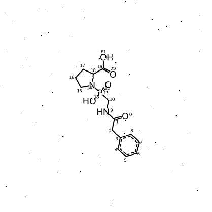 O=C(Cc1ccccc1)NCP(=O)(O)N1CCCC1C(=O)O